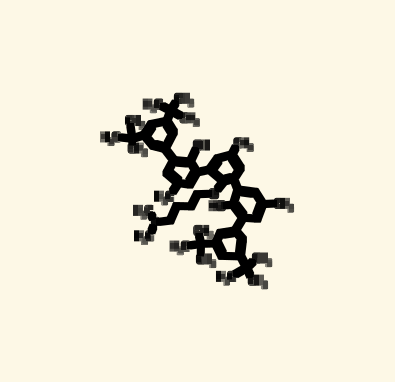 Cc1cc(-c2cc(C(C)(C)C)cc(C(C)(C)C)c2)c(O)c(-c2cc(C)cc(-c3cc(C)cc(-c4cc(C(C)(C)C)cc(C(C)(C)C)c4)c3O)c2OCCCCP(C)C)c1